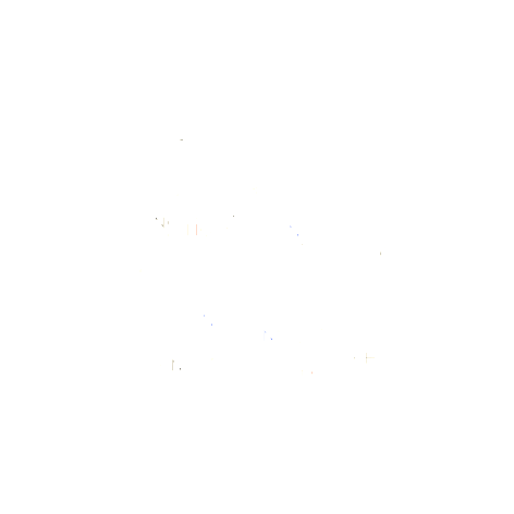 Cc1cc(C)c(C(=O)N2CCN(c3ccccc3C#N)CC2)cc1CN1CCC(O)(c2ccccc2C#N)CC1